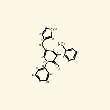 N#Cc1ccccc1-c1cc(Cc2ccoc2)cn(-c2ccccc2)c1=O